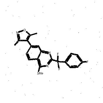 CSc1nc(C(F)(F)c2ccc(F)cc2)nc2cc(-c3c(C)noc3C)ccc12